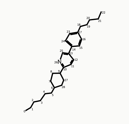 CCCCCCC1CCC(c2ccc(-c3ccc(CCCCC)cc3)cn2)CC1